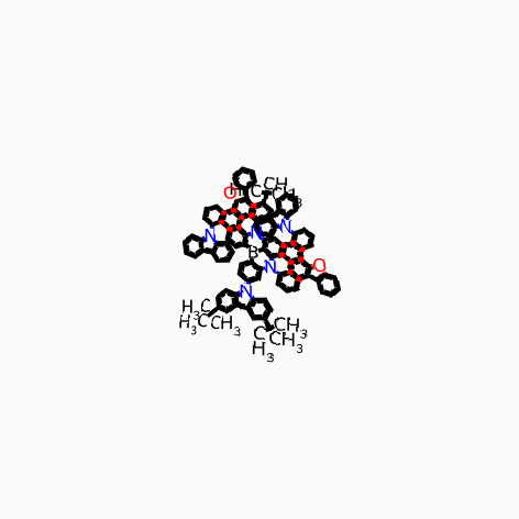 CC(C)(C)c1ccc(N2c3cc(-c4c(-c5cccc6c5oc5ccccc56)cccc4-n4c5ccccc5c5ccccc54)ccc3B3c4ccc(-n5c6ccc(C(C)(C)C)cc6c6cc(C(C)(C)C)ccc65)cc4N(c4ccccc4-c4ccccc4)c4cc(-c5c(-c6cccc7c6oc6ccccc67)cccc5-n5c6ccccc6c6ccccc65)cc2c43)c(-c2ccccc2)c1